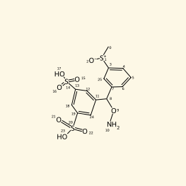 C[S+]([O-])c1cccc(C(ON)c2cc(S(=O)(=O)O)cc(S(=O)(=O)O)c2)c1